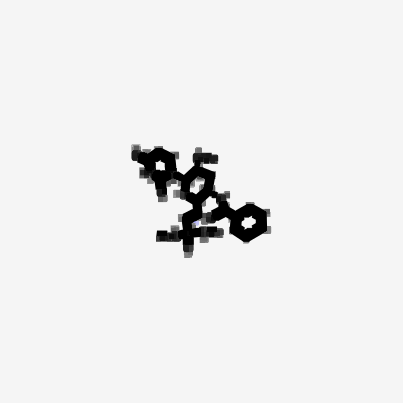 CO[C@@H]1C[C@H](OC(=O)c2ccccc2)C(/C=C/P(=O)(OC)OC)O[C@H]1n1ccc(=O)[nH]c1=O